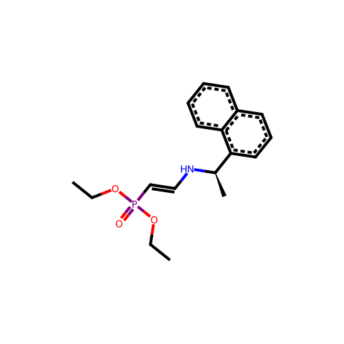 CCOP(=O)(C=CN[C@H](C)c1cccc2ccccc12)OCC